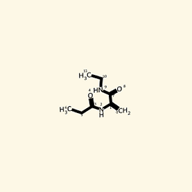 C=C(NC(=O)CC)C(=O)NCC